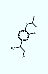 [CH2]C(CO)c1ccc(OC(F)F)c(Cl)c1